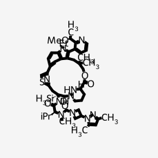 CCn1c(-c2cccnc2[C@H](C)OC)c2c3cc(ccc31)-c1csc(n1)C[C@]([SiH3])(NC(=O)[C@H](C(C)C)N(C)C(=O)N1CC(n3nc(C)cc3C)C1)C(=O)N1CCC[C@H](N1)C(=O)OCC(C)(C)C2